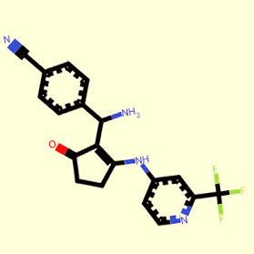 N#Cc1ccc(C(N)C2=C(Nc3ccnc(C(F)(F)F)c3)CCC2=O)cc1